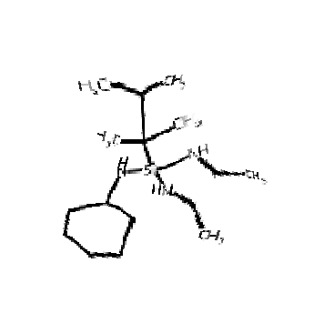 CCN[Si](NCC)(NC1CCCCC1)C(C)(C)C(C)C